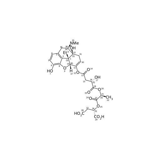 CC[C@]12c3c4ccc(O)c3O[C@H]1C(OC(=O)C[C@H](O)C(=O)O[C@@H](C)C(=O)O[C@@H](CC(=O)O)C(=O)O)=CC[C@@]2(O)[C@H](NC)C4